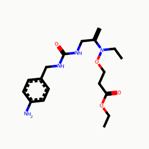 C=C(CNC(=O)NCc1ccc(N)cc1)N(CC)OCCC(=O)OCC